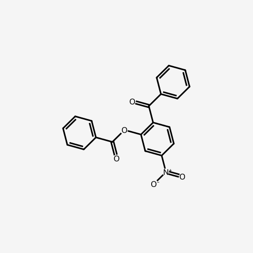 O=C(Oc1cc([N+](=O)[O-])ccc1C(=O)c1ccccc1)c1ccccc1